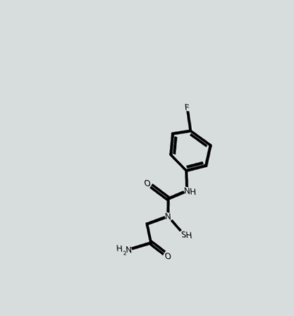 NC(=O)CN(S)C(=O)Nc1ccc(F)cc1